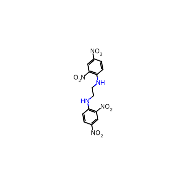 O=[N+]([O-])c1ccc(NCCNc2ccc([N+](=O)[O-])cc2[N+](=O)[O-])c([N+](=O)[O-])c1